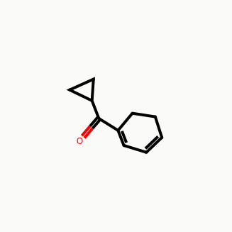 O=C(C1=CC=CCC1)C1CC1